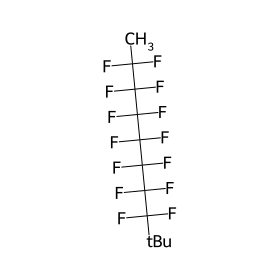 CC(C)(C)C(F)(F)C(F)(F)C(F)(F)C(F)(F)C(F)(F)C(F)(F)C(C)(F)F